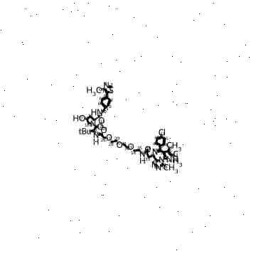 Cc1ncsc1-c1ccc(CNC(=O)[C@@H]2C[C@@H](O)CN2C(=O)C(NC(=O)COCCOCCOCCNC(=O)CC2N=C(c3ccc(Cl)cc3)c3c([nH]c(C)c3C)-n3c(C)nnc32)C(C)(C)C)cc1